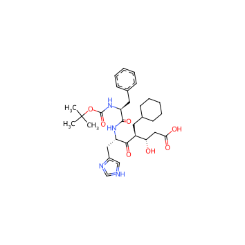 CC(C)(C)OC(=O)N[C@@H](Cc1ccccc1)C(=O)N[C@@H](Cc1c[nH]cn1)C(=O)[C@@H](CC1CCCCC1)[C@@H](O)CC(=O)O